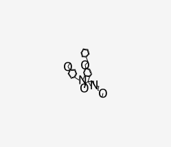 COCCN1CC2(C1)C(=O)N(Cc1ccc(OC)cc1)c1cc(OCc3ccccc3)ccc12